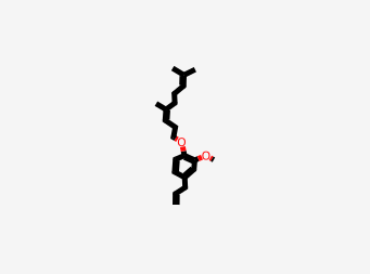 C=CCc1ccc(OCCC=C(C)CCC=C(C)C)c(OC)c1